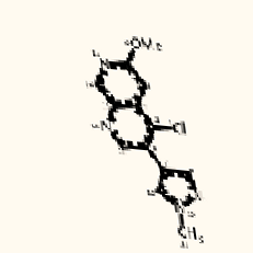 COc1cc2c(Cl)c(-c3cnn(C)c3)cnc2cn1